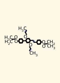 C=C(C)C(=O)Oc1ccc(/C=C/c2cc(OC/C=C/C)c(-c3ccc(OC(=O)C(=C)C)cc3)cc2OC/C=C/C)cc1